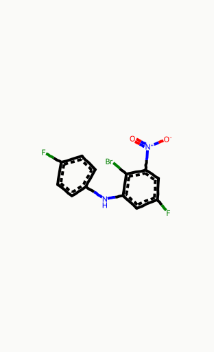 O=[N+]([O-])c1cc(F)cc(Nc2ccc(F)cc2)c1Br